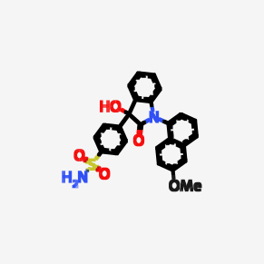 COc1ccc2c(N3C(=O)C(O)(c4ccc(S(N)(=O)=O)cc4)c4ccccc43)cccc2c1